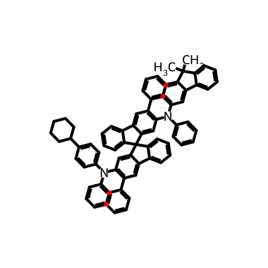 CC1(C)c2ccccc2-c2cc(N(c3ccccc3)c3cc4c(cc3-c3ccccc3)-c3ccccc3C43c4ccccc4-c4cc(-c5ccccc5)c(N(c5ccccc5)c5ccc(C6CCCCC6)cc5)cc43)ccc21